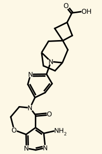 Nc1ncnc2c1C(=O)N(c1ccc(N3C4CCC3CC3(CC(C(=O)O)C3)C4)nc1)CCO2